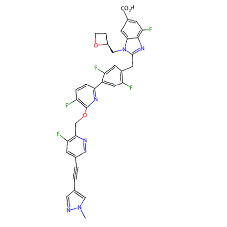 Cn1cc(C#Cc2cnc(COc3nc(-c4cc(F)c(Cc5nc6c(F)cc(C(=O)O)cc6n5C[C@@H]5CCO5)cc4F)ccc3F)c(F)c2)cn1